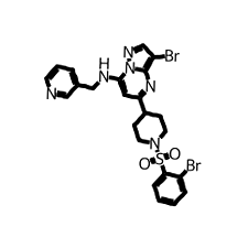 O=S(=O)(c1ccccc1Br)N1CCC(c2cc(NCc3cccnc3)n3ncc(Br)c3n2)CC1